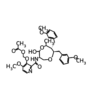 COc1cccc(C[C@H]2COC[C@H](NC(=O)c3nccc(OC)c3OCOC(C)=O)C(O)O[C@@H](C)[C@@H]2Cc2cccc(OC)c2)c1